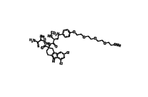 CC[C@H](C)C(NC(=O)[C@@]1(NC(=O)[C@H](CCc2ccc(OCCOCCOCCOCCOC)cc2)NC(=O)O)CCc2[nH]c3c(Cl)cc(Cl)cc3c2C1)C(N)=S